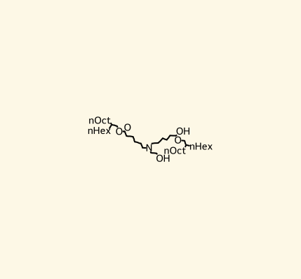 CCCCCCCCC(CCCCCC)COC(=O)CCCCCN(CCO)CCCCCC(O)OCC(CCCCCC)CCCCCCCC